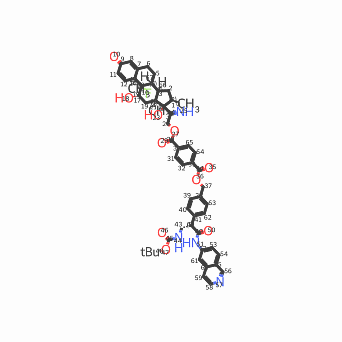 C[C@@H]1C[C@H]2[C@@H]3CCC4=CC(=O)C=C[C@]4(C)[C@@]3(F)[C@@H](O)C[C@]2(C)[C@@]1(O)C(=N)COC(=O)c1ccc(C(=O)OCc2ccc([C@@H](CNC(=O)OC(C)(C)C)C(=O)Nc3ccc4cnccc4c3)cc2)cc1